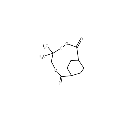 CC1(C)COC(=O)C2CCC(CC2)C(=O)OC1